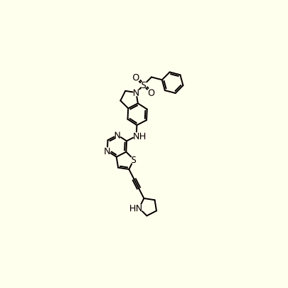 O=S(=O)(Cc1ccccc1)N1CCc2cc(Nc3ncnc4cc(C#CC5CCCN5)sc34)ccc21